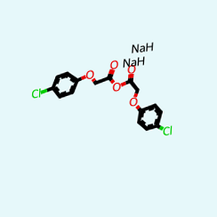 O=C(COc1ccc(Cl)cc1)OC(=O)COc1ccc(Cl)cc1.[NaH].[NaH]